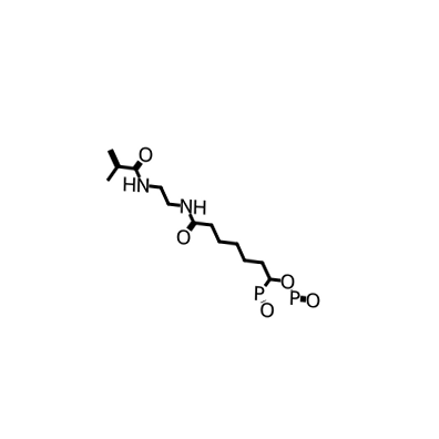 C=C(C)C(=O)NCCNC(=O)CCCCCC(OP=O)P=O